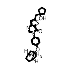 CN1[C@@H]2CC[C@H]1C[C@@H](Oc1ccc(-n3cnc4cc(CC5(O)CCCC5)sc4c3=O)cc1)C2